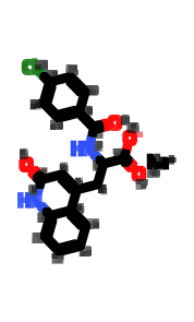 O=C(NC(Cc1cc(=O)[nH]c2ccccc12)C(=O)[O-])c1ccc(Cl)cc1.[Na+]